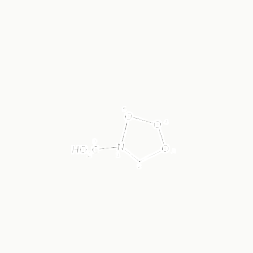 O=C(O)N1COOO1